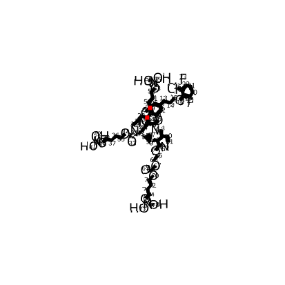 Cc1c(CN(C(=O)C2C(c3ccc(CCCOc4c(F)ccc(F)c4Cl)cc3)CC3CN(C(=O)OCCCCON(O)O)CC2N3C(=O)OCCCCON(O)O)C2CC2)ccnc1OCCOC(=O)OCCCCON(O)O